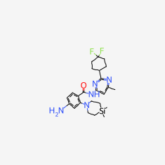 Cc1cc(NC(=O)c2ccc(N)cc2N2CC[Si](C)(C)CC2)nc(C2CCC(F)(F)CC2)n1